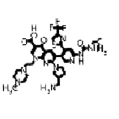 CCNC(=O)Nc1cc(-c2nc(C(F)(F)F)cs2)c(-c2cc3c(=O)c(C(=O)O)cn(CCN4CCN(C)CC4)c3nc2N2CCC(CN)C2)cn1